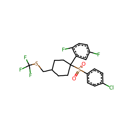 O=S(=O)(c1ccc(Cl)cc1)C1(c2cc(F)ccc2F)CCC(CSC(F)(F)F)CC1